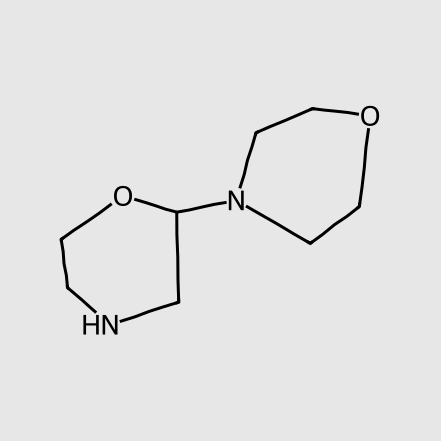 C1COC(N2CCOCC2)CN1